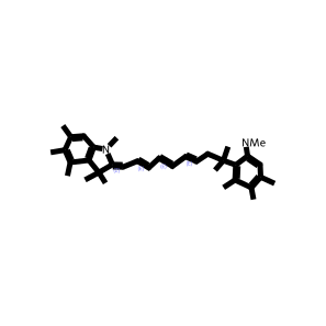 CNc1cc(C)c(C)c(C)c1C(C)(C)C/C=C/C=C/C=C/C=C1\N(C)c2cc(C)c(C)c(C)c2C1(C)C